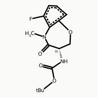 CN1C(=O)[C@@H](NC(=O)OC(C)(C)C)COc2cccc(F)c21